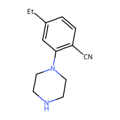 CCc1ccc(C#N)c(N2CCNCC2)c1